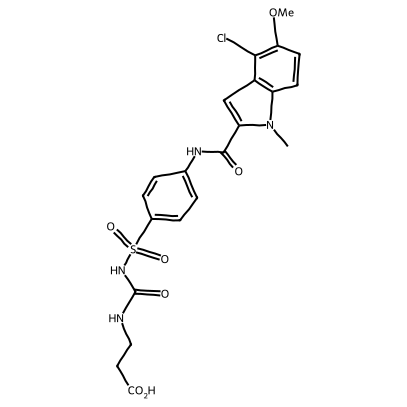 COc1ccc2c(cc(C(=O)Nc3ccc(S(=O)(=O)NC(=O)NCCC(=O)O)cc3)n2C)c1Cl